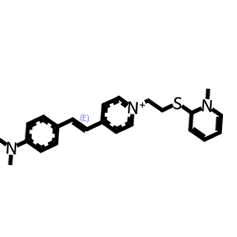 CN(C)c1ccc(/C=C/c2cc[n+](CCSC3C=CC=CN3C)cc2)cc1